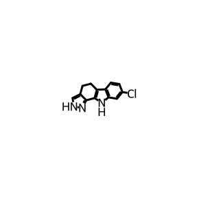 Clc1ccc2c3c([nH]c2c1)-c1n[nH]cc1CC3